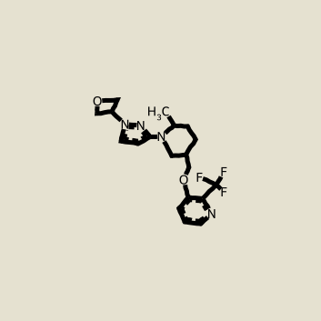 CC1CCC(COc2cccnc2C(F)(F)F)CN1c1ccn(C2COC2)n1